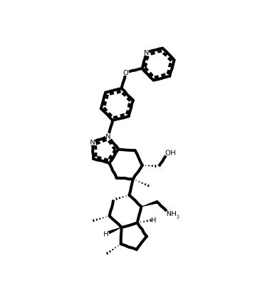 C[C@@H]1C[C@H]([C@@]2(C)Cc3cnn(-c4ccc(Oc5ccccn5)cc4)c3C[C@@H]2CO)[C@@H](CN)[C@H]2CC[C@H](C)[C@@H]21